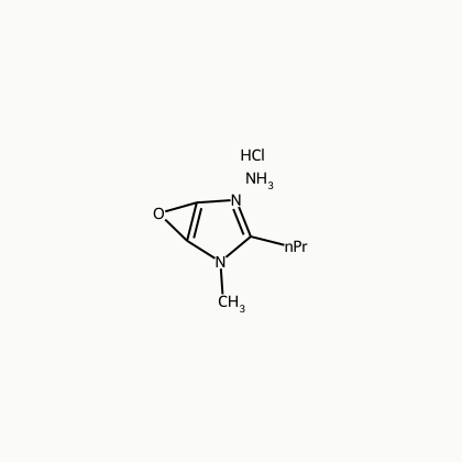 CCCc1nc2c(n1C)O2.Cl.N